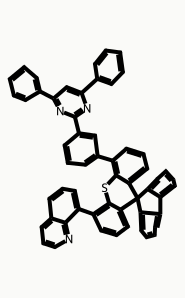 c1ccc(-c2cc(-c3ccccc3)nc(-c3cccc(-c4cccc5c4Sc4c(-c6cccc7cccnc67)cccc4C54c5ccccc5-c5ccccc54)c3)n2)cc1